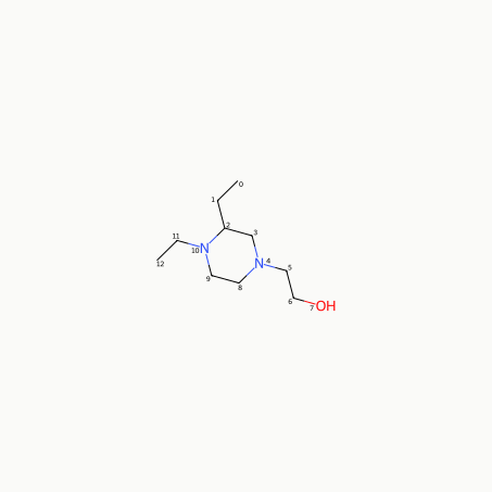 CCC1CN(CCO)CCN1CC